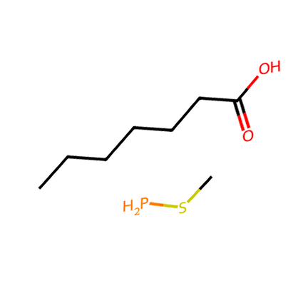 CCCCCCC(=O)O.CSP